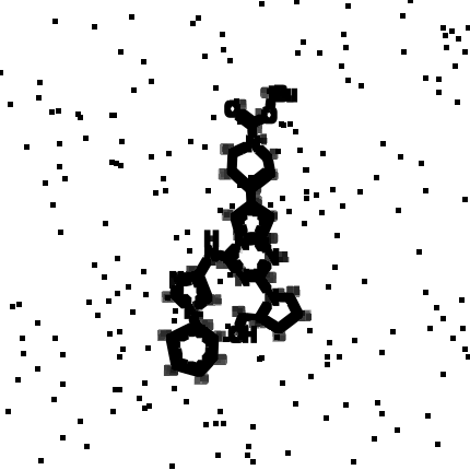 CC(C)(C)OC(=O)N1CC=C(c2cc3nc(N4CCC[C@H]4CO)nc(Nc4cn(-c5ccccc5)cn4)n3c2)CC1